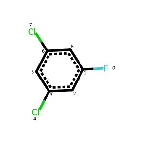 Fc1cc(Cl)[c]c(Cl)c1